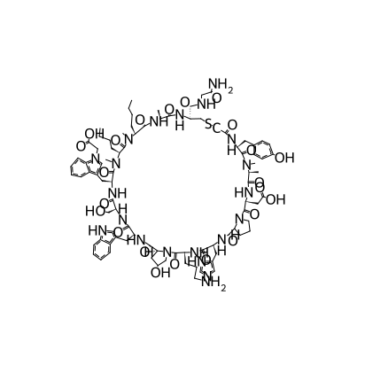 CCCC[C@H]1C(=O)N(C)[C@@H](CCCC)C(=O)N[C@@H](C)C(=O)N[C@H](C(=O)NCC(N)=O)CSCC(=O)N[C@@H](Cc2ccc(O)cc2)C(=O)N(C)[C@@H](C)C(=O)N[C@@H](CC(=O)O)C(=O)N2CCC[C@H]2C(=O)N[C@@H](Cc2cnc[nH]2)C(=O)N[C@@H](CCCN)C(=O)N2C[C@H](O)C[C@H]2C(=O)N[C@@H](Cc2c[nH]c3ccccc23)C(=O)N[C@@H](CO)C(=O)N[C@@H](Cc2cn(CC(=O)O)c3ccccc23)C(=O)N1C